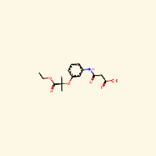 CCOC(=O)C(C)(C)Oc1cccc(NC(=O)CC(=O)O)c1